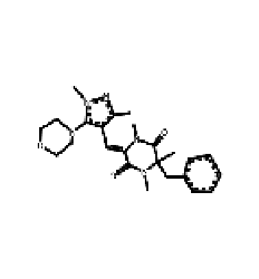 Cc1nn(C)c(N2CCOCC2)c1/C=C1/C(=O)N(C)C(C)(Cc2ccccc2)C(=O)N1C